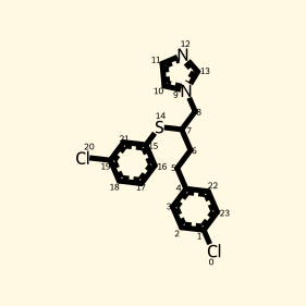 Clc1ccc(CCC(Cn2ccnc2)Sc2cccc(Cl)c2)cc1